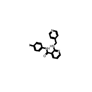 O=C(Nc1ccc(I)cc1)c1cccnc1NCc1ccncc1